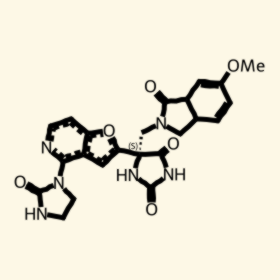 COC1=CC2C(=O)N(C[C@@]3(c4cc5c(N6CCNC6=O)nccc5o4)NC(=O)NC3=O)CC2C=C1